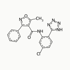 Cc1onc(-c2ccccc2)c1C(=O)Nc1cc(Cl)ccc1-c1nnn[nH]1